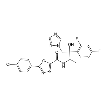 CC(NC(=O)c1nnc(-c2ccc(Cl)cc2)o1)C(O)(Cn1cncn1)c1ccc(F)cc1F